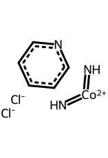 [Cl-].[Cl-].[NH]=[Co+2]=[NH].c1ccncc1